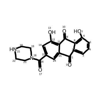 O=C1c2cccc(O)c2C(=O)c2c(O)cc(C(=O)N3CCNCC3)cc21